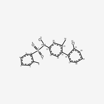 Cc1ccccc1S(=O)(=O)N(Cl)c1ccc(-c2ccccc2Cl)c(C)n1